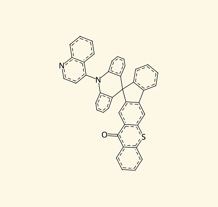 O=c1c2ccccc2sc2cc3c(cc12)C1(c2ccccc2-3)c2ccccc2N(c2ccnc3ccccc23)c2ccccc21